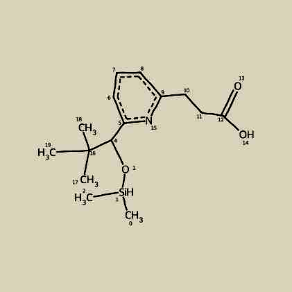 C[SiH](C)OC(c1cccc(CCC(=O)O)n1)C(C)(C)C